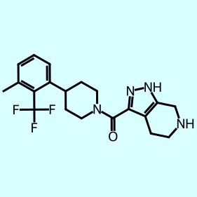 Cc1cccc(C2CCN(C(=O)c3n[nH]c4c3CCNC4)CC2)c1C(F)(F)F